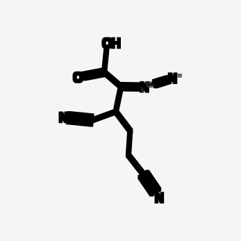 N#CCCC(C#N)C(=[N+]=[N-])C(=O)O